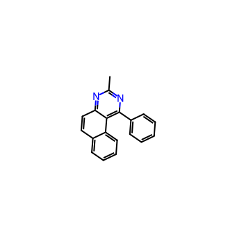 Cc1nc(-c2ccccc2)c2c(ccc3ccccc32)n1